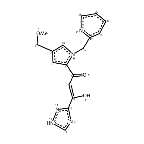 COCc1cc(C(=O)C=C(O)c2nc[nH]n2)n(Cc2ccccn2)c1